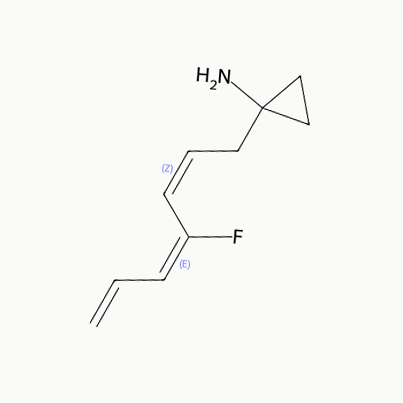 C=C/C=C(F)\C=C/CC1(N)CC1